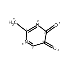 CC1=NC(=O)C(=O)C=N1